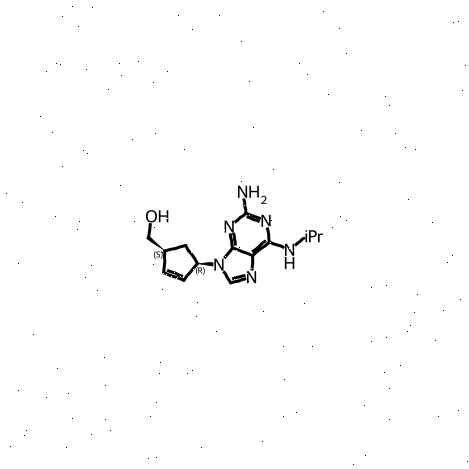 CC(C)Nc1nc(N)nc2c1ncn2[C@H]1C=C[C@@H](CO)C1